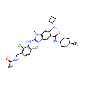 CN(c1cc2c(cc1C(=O)N[C@H]1CC[C@H](C(F)(F)F)CC1)nc(Nc1c(Cl)ccc(CNC(=O)C(C)(C)C)c1Cl)n2C)C1CCC1